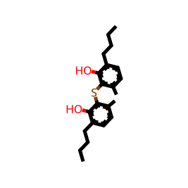 CCCCc1ccc(C)c(Sc2c(C)ccc(CCCC)c2O)c1O